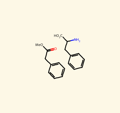 COC(=O)Cc1ccccc1.NC(Cc1ccccc1)C(=O)O